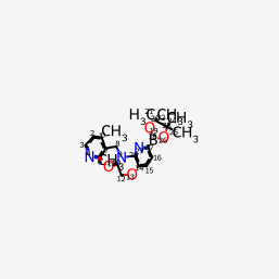 Cc1ccnc(C)c1CN1C(=O)COc2ccc(B3OC(C)(C)C(C)(C)O3)nc21